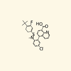 CN(SC1=CC(F)=C(C(C)(C)C)CC1)c1ccc(Cl)cc1-c1ccc(C(=O)O)c2ncccc12